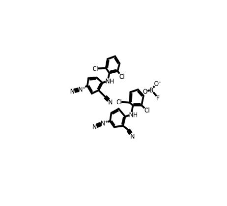 N#Cc1cc([N+]#N)ccc1Nc1c(Cl)cccc1Cl.N#Cc1cc([N+]#N)ccc1Nc1c(Cl)cccc1Cl.[O-]B([O-])F